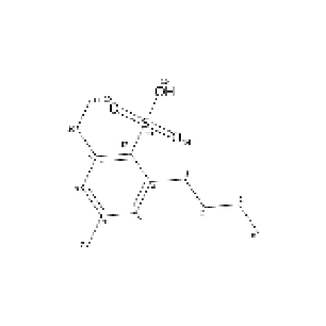 CCCCc1cc(C)cc(CC)c1S(=O)(=O)O